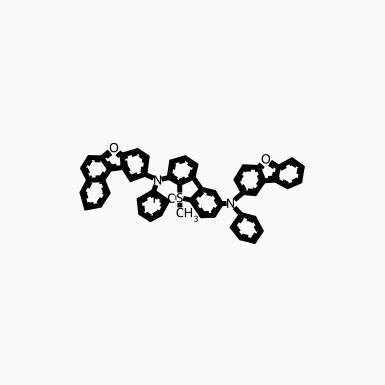 CS1(C)c2ccc(N(c3ccccc3)c3ccc4oc5ccccc5c4c3)cc2-c2cccc(N(c3ccccc3)c3ccc4oc5ccc6ccccc6c5c4c3)c21